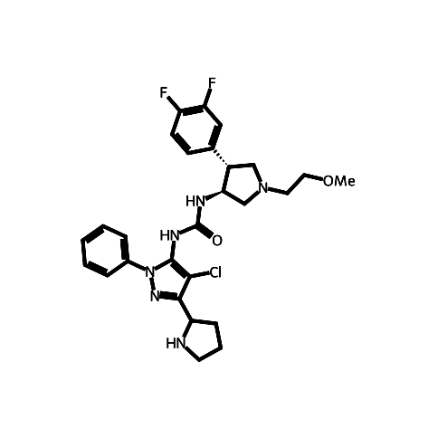 COCCN1C[C@@H](NC(=O)Nc2c(Cl)c(C3CCCN3)nn2-c2ccccc2)[C@H](c2ccc(F)c(F)c2)C1